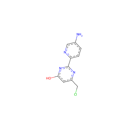 Nc1ccc(-c2nc(O)cc(CCl)n2)nc1